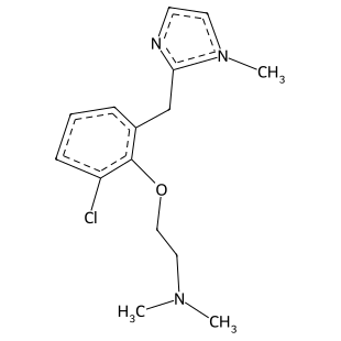 CN(C)CCOc1c(Cl)cccc1Cc1nccn1C